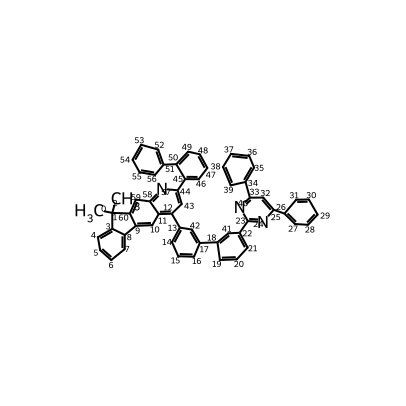 CC1(C)c2ccccc2-c2cc3c(-c4cccc(-c5cccc(-c6nc(-c7ccccc7)cc(-c7ccccc7)n6)c5)c4)cc(-c4ccccc4-c4ccccc4)nc3cc21